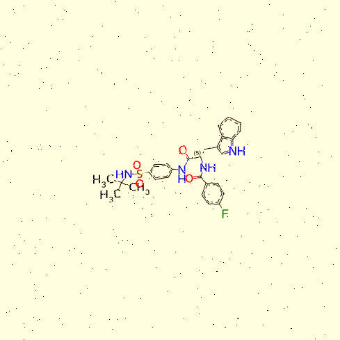 CC(C)(C)NS(=O)(=O)c1ccc(NC(=O)[C@H](Cc2c[nH]c3ccccc23)NC(=O)c2ccc(F)cc2)cc1